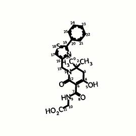 CC1(C)CC(O)=C(C(=O)NCC(=O)O)C(=O)N1Cc1csc(-c2ccccc2)n1